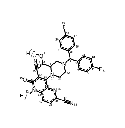 COC(=O)C1CN(C(c2ccc(F)cc2)c2ccc(F)cc2)CCN1c1c(C#N)c(=O)n(C)c2ccc(C#N)nc12